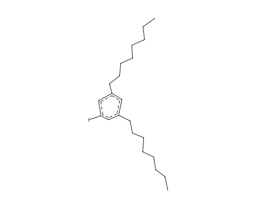 CCCCCCCCc1cc(I)cc(CCCCCCCC)c1